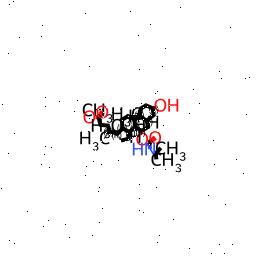 COC(=O)CC[C@@H](C)[C@H]1CC[C@H]2[C@@H]3[C@@H](OC(=O)NC(C)C)C[C@@H]4C[C@H](O)CC[C@]4(C)[C@H]3CC[C@]12C